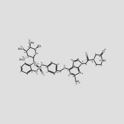 CC[C@H]1OC(Oc2ccccc2OS(=O)(=O)Oc2ccc(COc3nc(N)nc4c3ncn4CC(=O)N3CCNC(=O)C3)cc2)[C@H](OC(C)=O)[C@@H](OC(C)=O)[C@H]1OC(C)=O